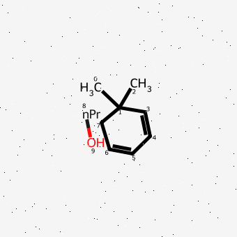 CC1(C)C=CC=CC1.CCCO